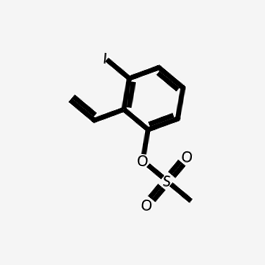 C=Cc1c(I)cccc1OS(C)(=O)=O